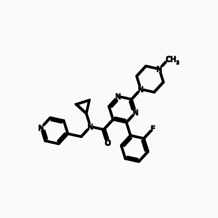 CN1CCN(c2ncc(C(=O)N(Cc3ccncc3)C3CC3)c(-c3ccccc3F)n2)CC1